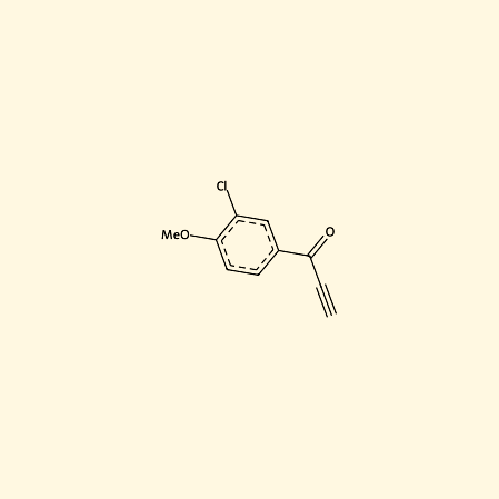 C#CC(=O)c1ccc(OC)c(Cl)c1